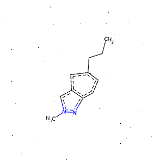 CCCc1ccc2nn(C)cc2c1